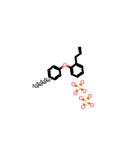 C=CCc1ccccc1Oc1ccccc1.O=S(=O)([O-])[O-].O=S(=O)([O-])[O-].[Na+].[Na+].[Na+].[Na+]